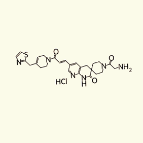 Cl.NCC(=O)N1CCC2(CC1)Cc1cc(/C=C/C(=O)N3CC=C(Cc4nccs4)CC3)cnc1NC2=O